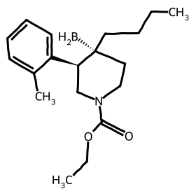 B[C@]1(CCCC)CCN(C(=O)OCC)C[C@H]1c1ccccc1C